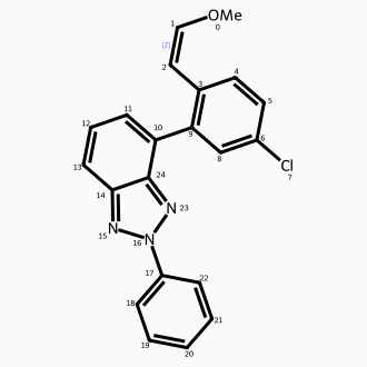 CO/C=C\c1ccc(Cl)cc1-c1cccc2nn(-c3ccccc3)nc12